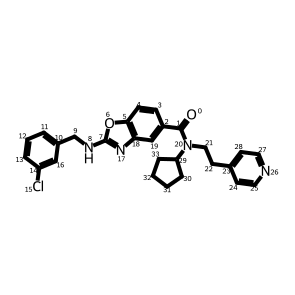 O=C(c1ccc2oc(NCc3cccc(Cl)c3)nc2c1)N(CCc1ccncc1)C1CCCC1